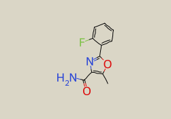 Cc1oc(-c2ccccc2F)nc1C(N)=O